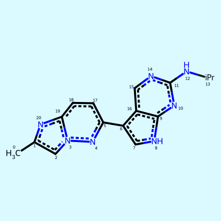 Cc1cn2nc(-c3c[nH]c4nc(NC(C)C)ncc34)ccc2n1